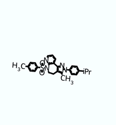 Cc1ccc(S(=O)(=O)N2CCc3c(nn(-c4ccc(C(C)C)cc4)c3C)-c3cccnc32)cc1